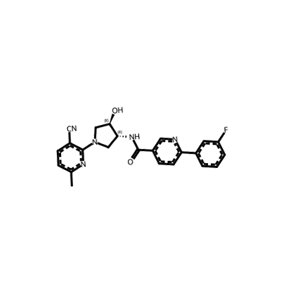 Cc1ccc(C#N)c(N2C[C@@H](O)[C@H](NC(=O)c3ccc(-c4cccc(F)c4)nc3)C2)n1